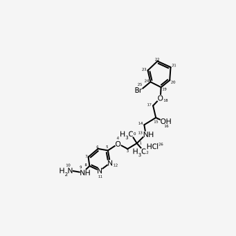 CC(C)(COc1ccc(NN)nn1)NCC(O)COc1ccccc1Br.Cl